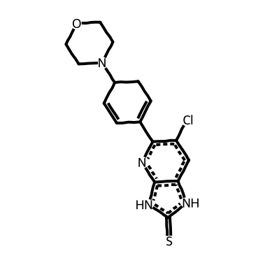 S=c1[nH]c2cc(Cl)c(C3=CCC(N4CCOCC4)C=C3)nc2[nH]1